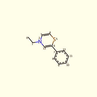 CCN1C=CSC(c2cc[c]cc2)=C1